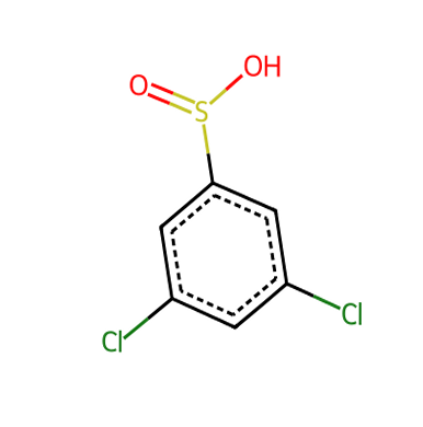 O=S(O)c1cc(Cl)cc(Cl)c1